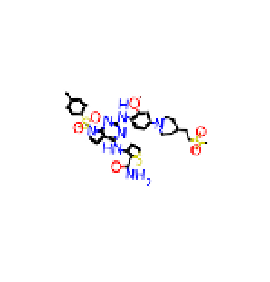 COc1cc(N2CCC(CCS(C)(=O)=O)CC2)ccc1Nc1nc(Nc2ccsc2C(N)=O)c2ccn(S(=O)(=O)c3ccc(C)cc3)c2n1